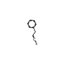 S=C=CCc1ccccc1